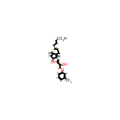 O=C(O)CCC[C@H]1CC[C@@H]2[C@@H](/C=C/[C@@H](O)COc3cccc(C(F)(F)F)c3)[C@H](O)C[C@@H]2S1